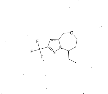 CCC1CCOCc2cc(C(F)(F)F)nn21